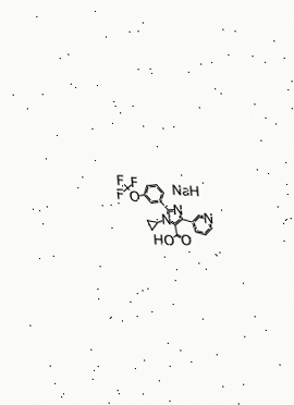 O=C(O)c1c(-c2cccnc2)nc(-c2cccc(OC(F)(F)F)c2)n1C1CC1.[NaH]